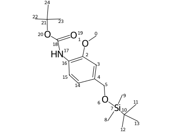 COc1cc(CO[Si](C)(C)C(C)(C)C)ccc1NC(=O)OC(C)(C)C